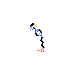 O[CH]CCCCN1CCN(c2nccs2)CC1